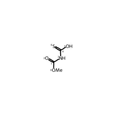 COC(=O)NC(O)=S